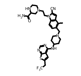 Cc1c(CN2CCC(Nc3ncnc4sc(CC(F)(F)F)cc34)CC2)ccc2c1cc(C#N)n2CCN1CCNC(C(N)=O)C1